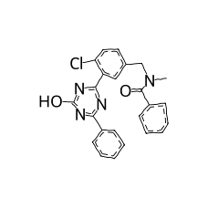 CN(Cc1ccc(Cl)c(-c2nc(O)nc(-c3ccccc3)n2)c1)C(=O)c1ccccc1